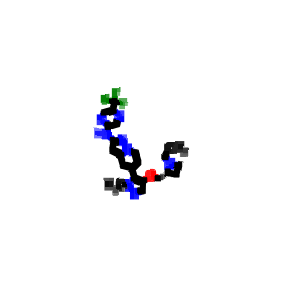 CCN1CC[C@@H]1COc1cnn(C)c1-c1ccn2nc(Nc3cnc(C(F)(F)F)cn3)cc2c1